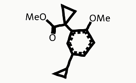 COC(=O)C1(c2cc(C3CC3)ccc2OC)CC1